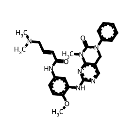 COc1ccc(NC(=O)/C=C/CN(C)C)cc1Nc1ncc2c(n1)N(C)C(=O)N(c1ccccc1)C2